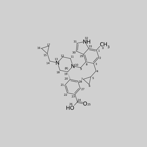 Cc1cc(CC2CC2)c(CN2CCN(CC3CC3)C[C@H]2c2ccc(C(=O)O)cc2)c2cc[nH]c12